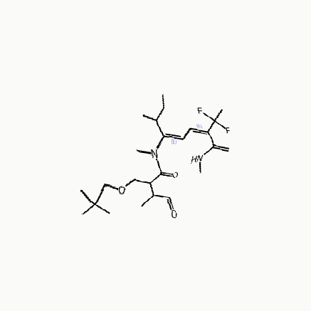 C=C(NC)/C(=C\C=C(/C(C)CC)N(C)C(=O)C(COCC(C)(C)C)C(C)C=O)C(C)(F)F